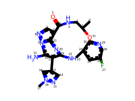 CC1CNC(=O)c2cnn3c(N)c(-c4cnn(C)c4)c(nc23)NCc2cc(F)cnc2O1